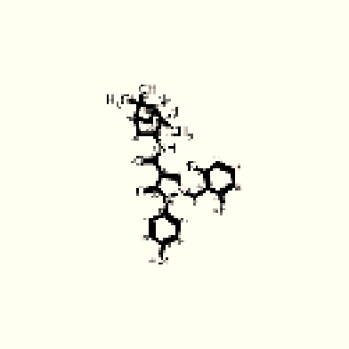 C[C@H]1C(NC(=O)c2cn(Cc3c(F)cccc3F)n(-c3ccc(Br)cc3)c2=O)CC2C[C@H]1C2(C)C